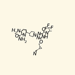 CC(NC(=O)c1nc(OC[C@H]2C[C@H]2C#N)nc(N2CCC(c3ccc(N)c(C(N)=O)n3)CC2)n1)C(F)(F)F